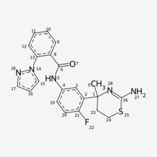 CC1(c2cc(NC(=O)c3ccccc3-n3cccn3)ccc2F)CCSC(N)=N1